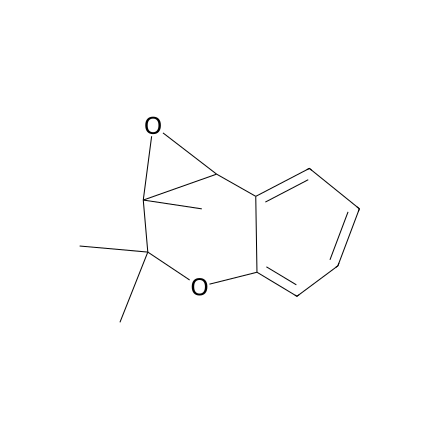 CC1(C)Oc2ccccc2C2OC21C